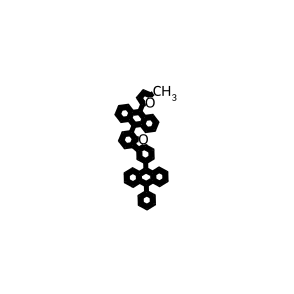 Cc1ccc(-c2c3ccccc3c(-c3cccc4c3oc3ccc(-c5c6ccccc6c(-c6ccccc6)c6ccccc56)cc34)c3ccccc23)o1